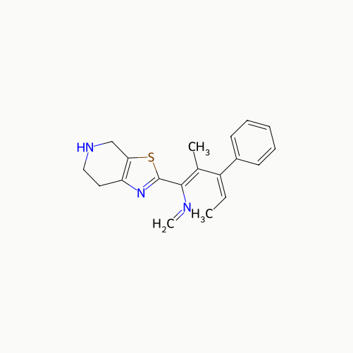 C=N/C(=C(C)\C(=C/C)c1ccccc1)c1nc2c(s1)CNCC2